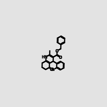 CC1=C(C(=O)OCc2ccccc2)C(c2ccccc2Br)C2=C(CCCC2=O)N1